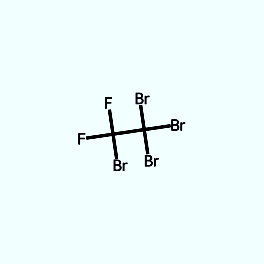 FC(F)(Br)C(Br)(Br)Br